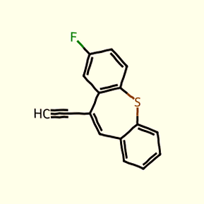 C#CC1=Cc2ccccc2Sc2ccc(F)cc21